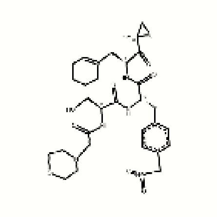 C[C@]1(C(=O)[C@H](CC2=CCCCC2)NC(=O)[C@H](Cc2ccc(C[SH](=O)=O)cc2)NC(=O)[C@H](CO)NC(=O)CN2CCOCC2)CO1